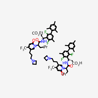 CCOC(=O)C[C@H](NC(=O)C(CC(C)C)n1cc(CCCN2CCC2)c(C(F)(F)F)cc1=O)c1c(F)c(C)cc(-c2c(C)cc(C)cc2C)c1F.Cc1cc(C)c(-c2cc(C)c(F)c([C@H](CC(=O)O)NC(=O)C(CC(C)C)n3cc(CCCN4CCC4)c(C(F)(F)F)cc3=O)c2F)c(C)c1